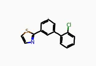 Clc1ccccc1-c1c[c]cc(-c2nccs2)c1